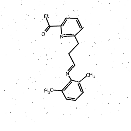 CCC(=O)c1cccc(CCC=Nc2c(C)cccc2C)n1